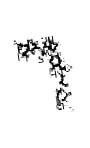 CN1CCN(CCCNC(=O)c2ccc(N3C(=S)N(c4cnc(C#N)c(C(F)(F)F)c4)C(O)C34CCC4)cc2F)CC1